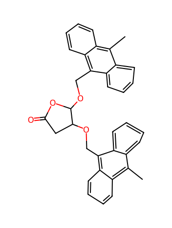 Cc1c2ccccc2c(COC2CC(=O)OC2OCc2c3ccccc3c(C)c3ccccc23)c2ccccc12